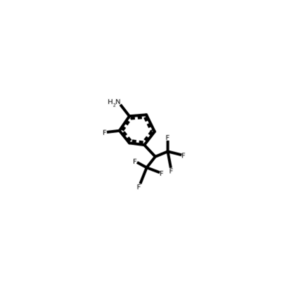 Nc1ccc(C(C(F)(F)F)C(F)(F)F)cc1F